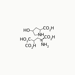 N[C@@H](CC(C(=O)O)C(=O)O)C(=O)O.O=C(O)C1CC(O)CN1